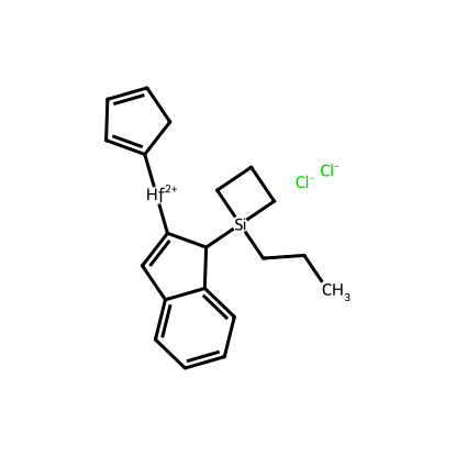 CCC[Si]1(C2[C]([Hf+2][C]3=CC=CC3)=Cc3ccccc32)CCC1.[Cl-].[Cl-]